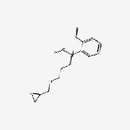 C=Cc1ccccc1[SiH](CCCOCC1CO1)OCC